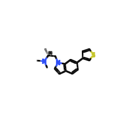 C[C@H](Cn1ccc2ccc(-c3ccsc3)cc21)N(C)C